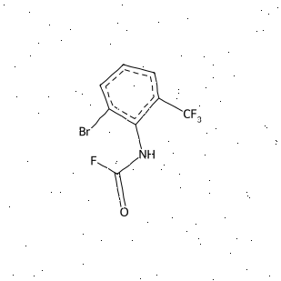 O=C(F)Nc1c(Br)cccc1C(F)(F)F